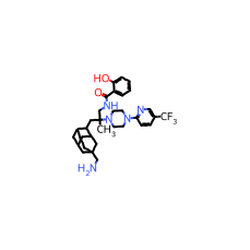 CC(CNC(=O)c1ccccc1O)(CC1C2CC3CC1CC(CN)(C3)C2)N1CCN(c2ccc(C(F)(F)F)cn2)CC1